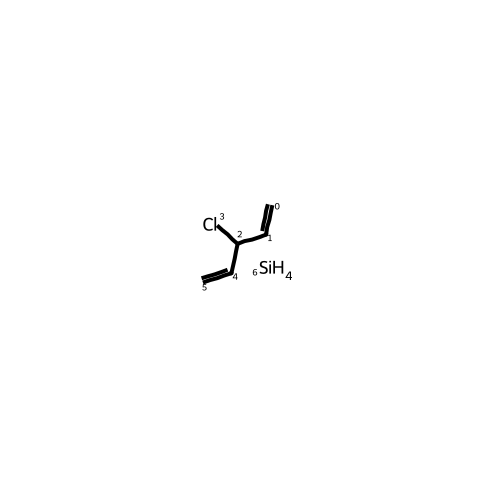 C=CC(Cl)C=C.[SiH4]